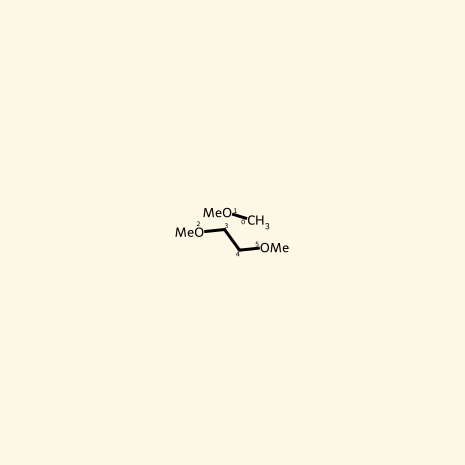 COC.COCCOC